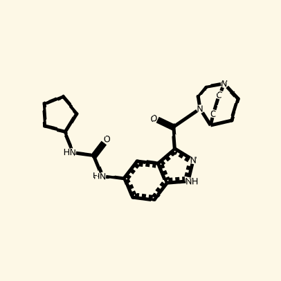 O=C(Nc1ccc2[nH]nc(C(=O)N3CCN4CCC3CC4)c2c1)NC1CCCC1